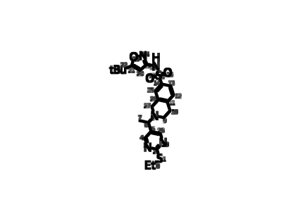 CCSc1ncc(C(C)N2CCc3ccc(S(=O)(=O)Nc4cc(C(C)(C)C)on4)cc3C2)cn1